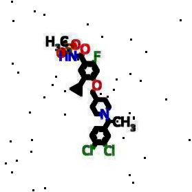 C[C@@H](c1ccc(Cl)c(Cl)c1)N1CCC(COc2cc(F)c(C(=O)NS(C)(=O)=O)cc2C2CC2)CC1